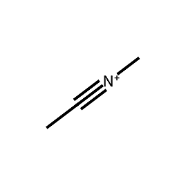 CC#[N+]C